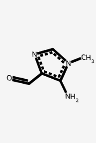 Cn1cnc(C=O)c1N